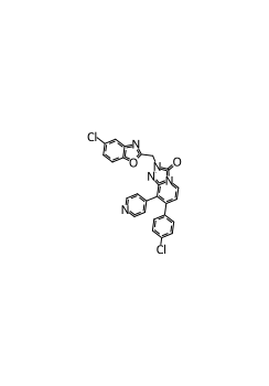 O=c1n(Cc2nc3cc(Cl)ccc3o2)nc2c(-c3ccncc3)c(-c3ccc(Cl)cc3)ccn12